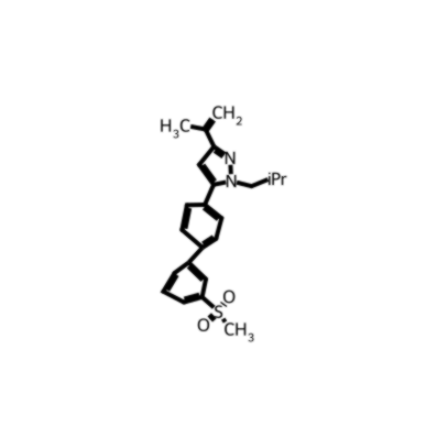 C=C(C)c1cc(-c2ccc(-c3cccc(S(C)(=O)=O)c3)cc2)n(CC(C)C)n1